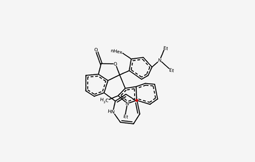 CCCCCCc1cc(N(CC)CC)ccc1C1(c2c(C)n(CC)c3ccccc23)OC(=O)c2cccc(C3=CC=CC=CN3)c21